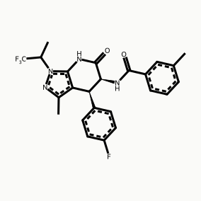 Cc1cccc(C(=O)N[C@@H]2C(=O)Nc3c(c(C)nn3C(C)C(F)(F)F)[C@@H]2c2ccc(F)cc2)c1